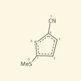 CSc1ccc(C#N)s1